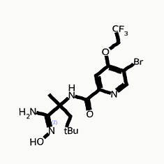 CC(C)(C)CC(C)(NC(=O)c1cc(OCC(F)(F)F)c(Br)cn1)/C(N)=N/O